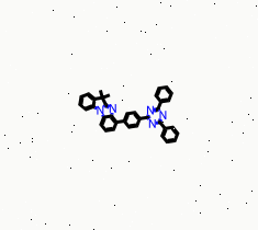 CC1(C)c2ccccc2-n2c1nc1c(-c3ccc(-c4nc(-c5ccccc5)nc(-c5ccccc5)n4)cc3)cccc12